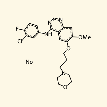 COc1cc2ncnc(Nc3ccc(F)c(Cl)c3)c2cc1OCCCN1CCOCC1.[No]